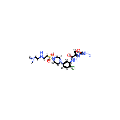 CN(C)CCNCCS(=O)(=O)N1CCN(c2ccc(Cl)c(NC(=O)c3coc(N)n3)c2)CC1